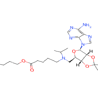 CCCCOC(=O)CCCCN(C[C@H]1O[C@@H](n2cnc3c(N)ncnc32)[C@@H]2OC(C)(C)O[C@@H]21)C(C)C